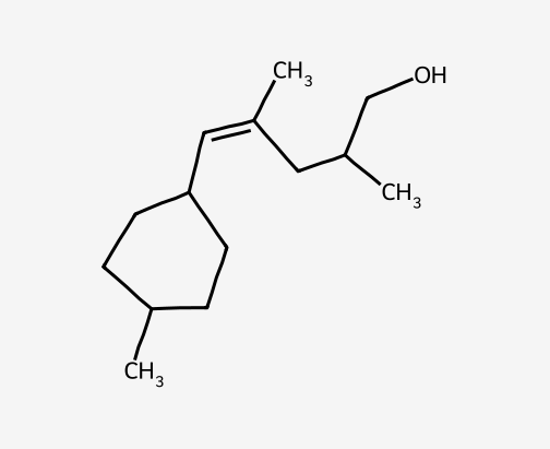 CC(=CC1CCC(C)CC1)CC(C)CO